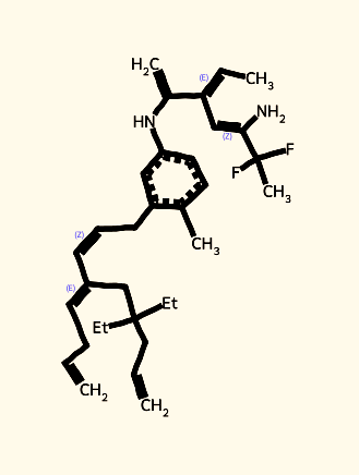 C=CC/C=C(/C=C\Cc1cc(NC(=C)C(/C=C(\N)C(C)(F)F)=C/C)ccc1C)CC(CC)(CC)CC=C